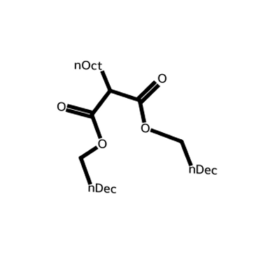 CCCCCCCCCCCOC(=O)C(CCCCCCCC)C(=O)OCCCCCCCCCCC